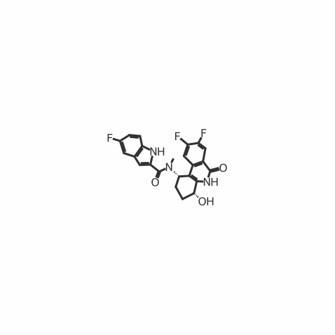 CN(C(=O)c1cc2cc(F)ccc2[nH]1)[C@H]1CC[C@@H](O)c2[nH]c(=O)c3cc(F)c(F)cc3c21